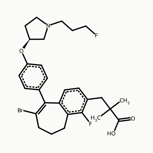 CC(C)(Cc1ccc2c(c1F)CCCC(Br)=C2c1ccc(O[C@H]2CCN(CCCF)C2)cc1)C(=O)O